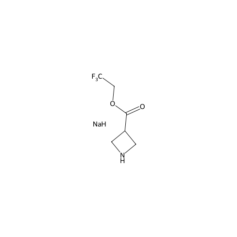 O=C(OCC(F)(F)F)C1CNC1.[NaH]